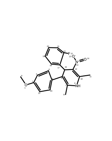 COc1ccc(C2=C(C)NC(C)=C([N+](=O)[O-])C2c2ccccc2F)cc1